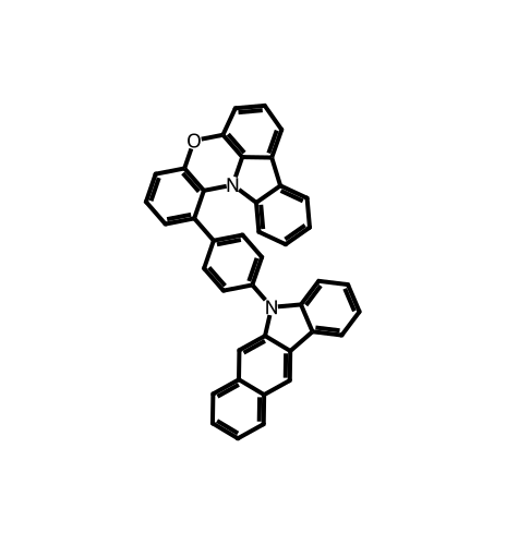 c1cc2c(c(-c3ccc(-n4c5ccccc5c5cc6ccccc6cc54)cc3)c1)-n1c3ccccc3c3cccc(c31)O2